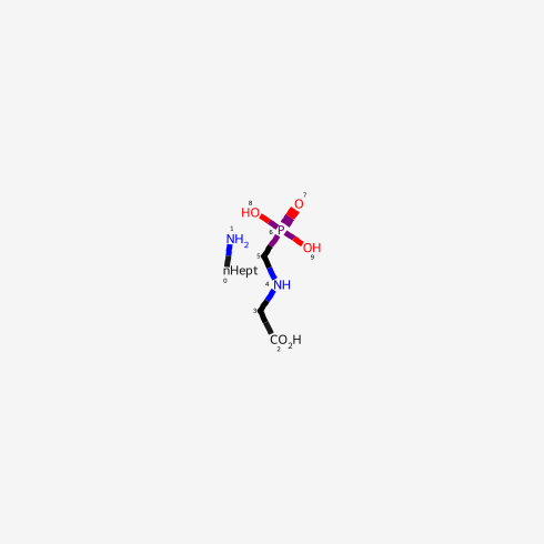 CCCCCCCN.O=C(O)CNCP(=O)(O)O